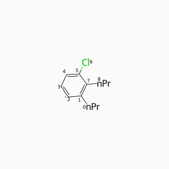 CCCc1[c]ccc(Cl)c1CCC